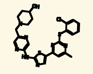 Cc1cc(-c2cnc(Nc3cnc(CN4CCC(O)CC4)cn3)s2)nc(Sc2ccccc2Cl)n1